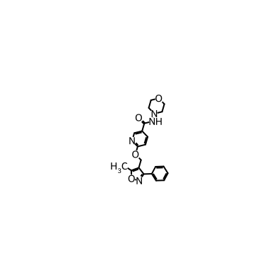 Cc1onc(-c2ccccc2)c1COc1ccc(C(=O)NN2CCOCC2)cn1